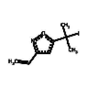 C=Cc1cc(C(C)(C)I)on1